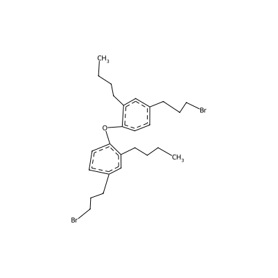 CCCCc1cc(CCCBr)ccc1Oc1ccc(CCCBr)cc1CCCC